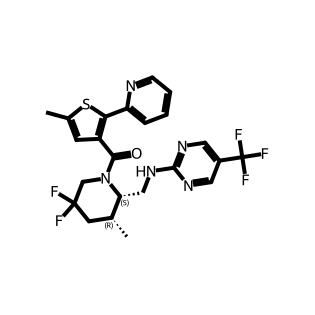 Cc1cc(C(=O)N2CC(F)(F)C[C@@H](C)[C@H]2CNc2ncc(C(F)(F)F)cn2)c(-c2ccccn2)s1